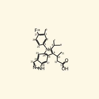 Cc1cc(-n2c(C(C)C)c(C(C)CC(=O)O)c3cc4[nH]ncc4cc32)ccc1F